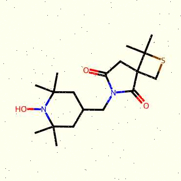 CC1(C)CC(CN2C(=O)CC3(CSC3(C)C)C2=O)CC(C)(C)N1O